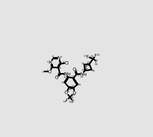 COc1ncnc(Cl)c1C(=O)Nc1cc2c(cc1C(=O)NC13CC(C(F)(F)F)(C1)C3)OC(F)(F)O2